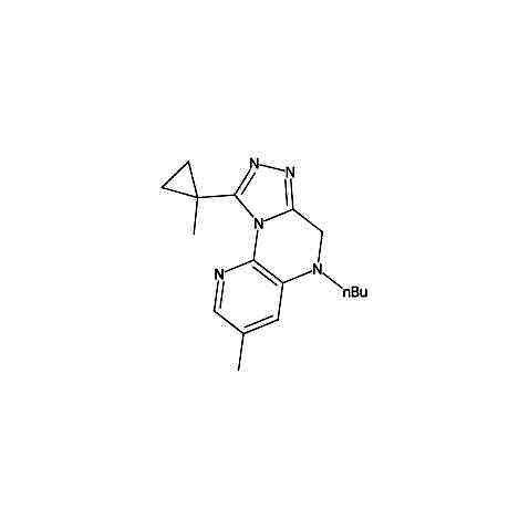 CCCCN1Cc2nnc(C3(C)CC3)n2-c2ncc(C)cc21